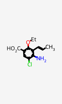 CC=Cc1c(N)c(Cl)cc(C(=O)O)c1OCC